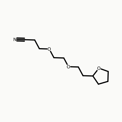 N#CCCOCCOCCC1CCCO1